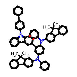 CC1(C)c2ccccc2-c2ccc(N(c3ccccc3)c3ccc(N(c4ccccc4)c4ccc5c(c4)C(C)(C)c4ccccc4-5)c(-c4ccc5c(c4)c4ccccc4n5-c4ccc(-c5ccccc5)cc4)c3)cc21